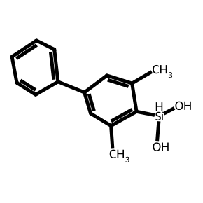 Cc1cc(-c2ccccc2)cc(C)c1[SiH](O)O